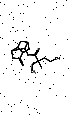 CCC(I)(CCO)C(=O)OC1C2CC3C(=O)OC1C3C2